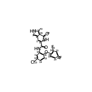 Cc1[nH]cc2cc(C(=O)Nc3cc(Cl)ccc3Oc3ccc(F)cc3F)[nH]c(=O)c12